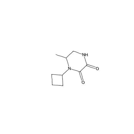 CC1CNC(=O)C(=O)N1C1CCC1